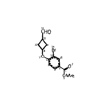 COC(=O)c1ccc(OC2CC(C=O)C2)c(Br)c1